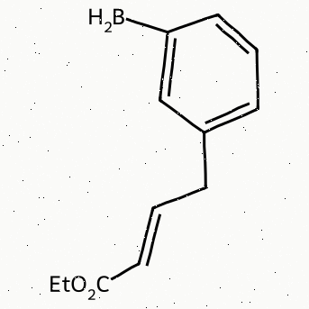 Bc1cccc(C/C=C/C(=O)OCC)c1